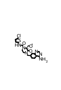 COC[C@H]1C(=O)N(Cc2ccc3c(N)ncnc3c2)CCN1C(=O)Nc1ccc(Cl)s1